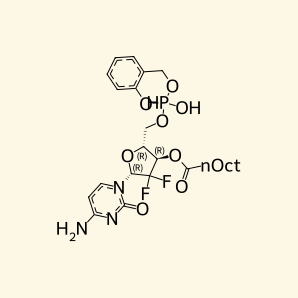 CCCCCCCCC(=O)O[C@@H]1[C@@H](CO[PH]2(O)OCc3ccccc3O2)O[C@@H](n2ccc(N)nc2=O)C1(F)F